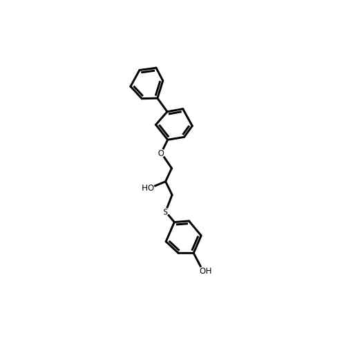 Oc1ccc(SCC(O)COc2cccc(-c3ccccc3)c2)cc1